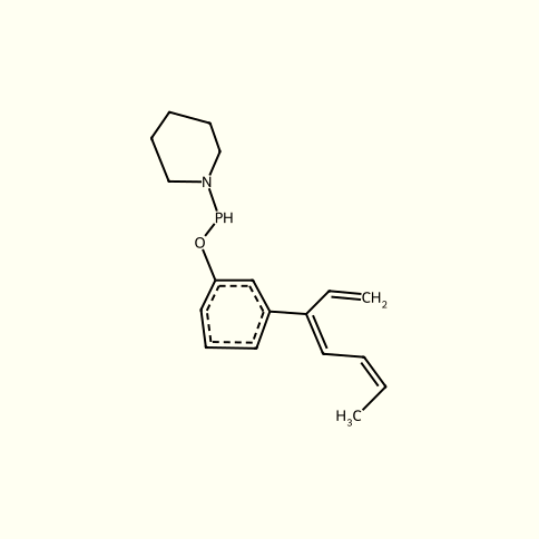 C=C/C(=C\C=C/C)c1cccc(OPN2CCCCC2)c1